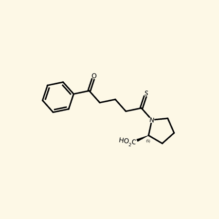 O=C(CCCC(=S)N1CCC[C@H]1C(=O)O)c1ccccc1